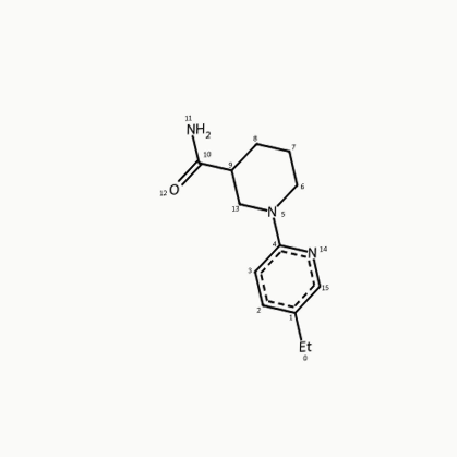 CCc1ccc(N2CCCC(C(N)=O)C2)nc1